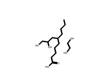 CCCCC(CCCCC(=O)O)CC(O)CO.OCCO